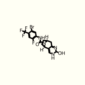 O=C(Nc1cc(Br)c(C(F)(F)F)cc1F)N1[C@H]2CC[C@@H]1C1=CNC(O)N=C1C2